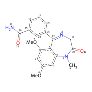 COc1cc(OC)c2c(c1)N(C)C(=O)CN=C2c1cccc(C(N)=O)c1